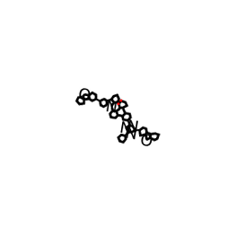 c1ccc(-c2nc(-c3ccc4c(c3)oc3ccccc34)nc(-c3ccc4c5ccccc5c5c(-n6c7ccccc7c7cc(-c8ccc9oc%10ccccc%10c9c8)ccc76)cccc5c4c3)n2)cc1